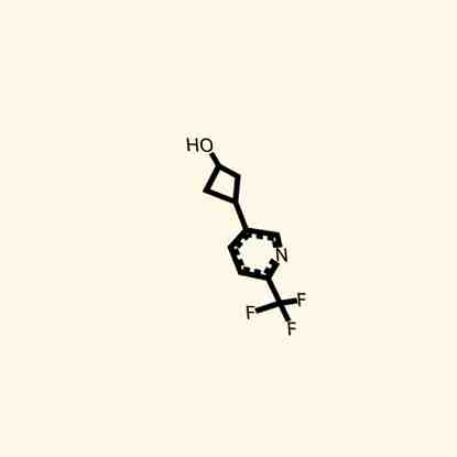 OC1CC(c2ccc(C(F)(F)F)nc2)C1